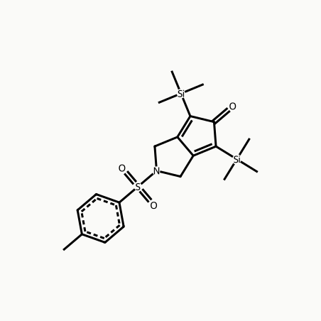 Cc1ccc(S(=O)(=O)N2CC3=C([Si](C)(C)C)C(=O)C([Si](C)(C)C)=C3C2)cc1